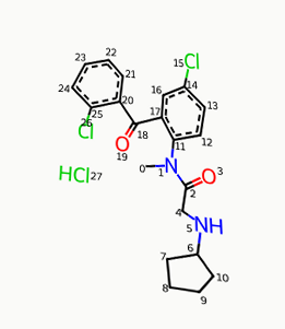 CN(C(=O)CNC1CCCC1)c1ccc(Cl)cc1C(=O)c1ccccc1Cl.Cl